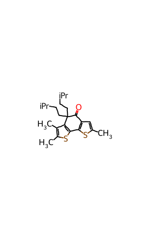 Cc1cc2c(s1)-c1sc(C)c(C)c1C(CCC(C)C)(CCC(C)C)C2=O